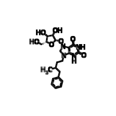 CC(CCN1CN(O[C@H]2O[C@H](CO)[C@@H](O)[C@H]2O)c2c1[nH]c(=O)[nH]c2=O)Cc1ccccc1